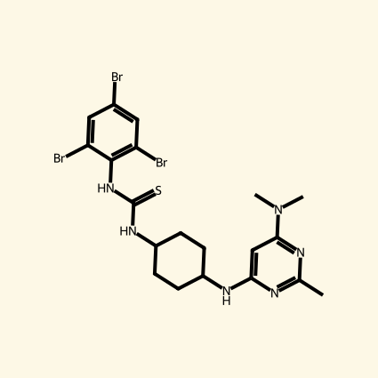 Cc1nc(NC2CCC(NC(=S)Nc3c(Br)cc(Br)cc3Br)CC2)cc(N(C)C)n1